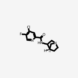 O=C(NC1CN2CC[C@H]1C2)c1cc(Cl)c(F)cn1